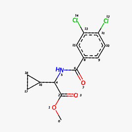 COC(=O)C(NC(=O)c1ccc(Cl)c(Cl)c1)C1CC1